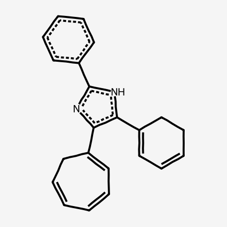 C1=CC=C(c2nc(-c3ccccc3)[nH]c2C2=CC=CCC2)CC=C1